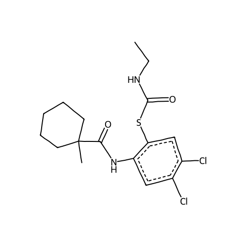 CCNC(=O)Sc1cc(Cl)c(Cl)cc1NC(=O)C1(C)CCCCC1